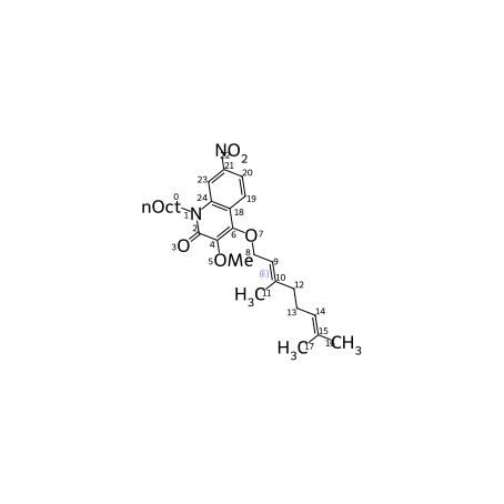 CCCCCCCCn1c(=O)c(OC)c(OC/C=C(\C)CCC=C(C)C)c2ccc([N+](=O)[O-])cc21